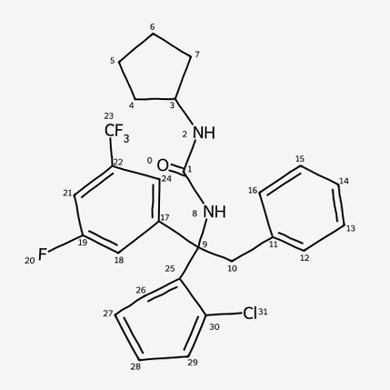 O=C(NC1CCCC1)NC(Cc1ccccc1)(c1cc(F)cc(C(F)(F)F)c1)c1ccccc1Cl